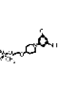 CC(C)(C)[Si](C)(C)OCCOC1CCN(c2cc(N)cc(Cl)c2)CC1